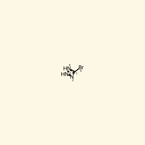 Brc1n[nH][nH]1